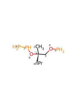 CCC[C@@](C)(COP)OPP